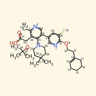 Cc1ncc(-c2cnc(OCCC3=CCCCC3)c(F)c2)c(N2CCC(C)(C)CC2)c1[C@H](OC(C)(C)C)C(=O)O